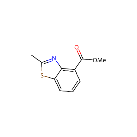 COC(=O)c1cccc2sc(C)nc12